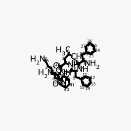 CC(C)CC(NC(=O)C(Cc1ccccc1)NC(=O)C(N)Cc1ccccc1)C(=O)NC(CCCCN)C(=O)N1C2CC1CN(CC(N)=O)C2